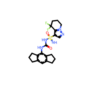 N=S(=O)(NC(=O)Nc1c2c(cc3c1CCC3)CCC2)c1cnn2c1C(F)(F)CCC2